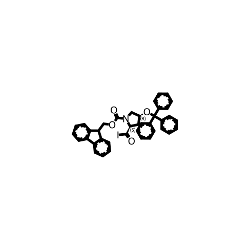 O=C(I)[C@@H]1C[C@@H](OC(c2ccccc2)(c2ccccc2)c2ccccc2)CN1C(=O)OCC1c2ccccc2-c2ccccc21